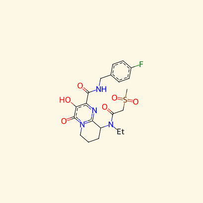 CCN(C(=O)CS(C)(=O)=O)C1CCCn2c1nc(C(=O)NCc1ccc(F)cc1)c(O)c2=O